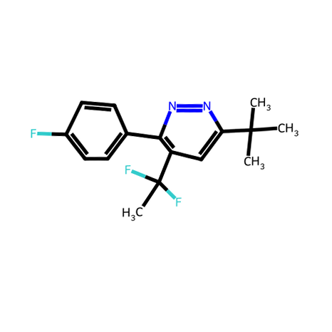 CC(C)(C)c1cc(C(C)(F)F)c(-c2ccc(F)cc2)nn1